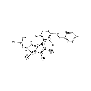 Cc1ccc(OCc2ccccc2)c(C)c1-n1c(N)c(C#N)c2c(C(F)(F)F)n(CC(F)F)nc21